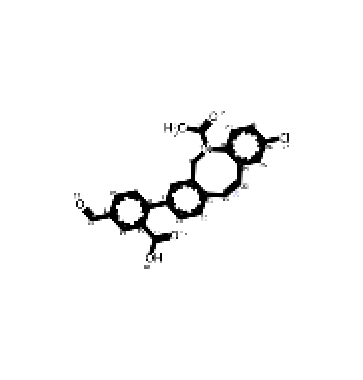 CC(=O)N1Cc2cc(-c3ccc(C=O)cc3C(=O)O)ccc2/C=C\c2cc(Cl)ccc21